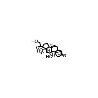 C[C@]12CCC(=O)C=C1C=C[C@@H]1[C@@H]2[C@@H](O)C[C@@]2(C)[C@H]1CC[C@]2(O)C(=O)CO